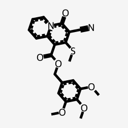 COc1cc(COC(=O)c2c(SC)c(C#N)c(=O)n3ccccc23)cc(OC)c1OC